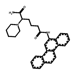 NC(=O)C(CCCC(=O)Nc1cc2c3ccccc3ccc2c2ccccc12)N1CCCCC1